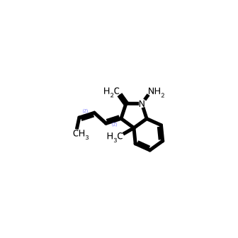 C=C1/C(=C\C=C/C)C2(C)C=CC=CC2N1N